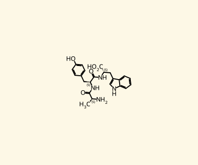 C[C@H](N)C(=O)N[C@@H](Cc1ccc(O)cc1)C(=O)N[C@@H](Cc1c[nH]c2ccccc12)C(=O)O